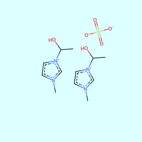 CC(O)[n+]1ccn(C)c1.CC(O)[n+]1ccn(C)c1.O=S(=O)([O-])[O-]